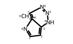 C.c1cc2[nH]nncc-2n1